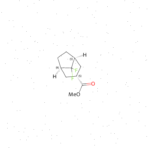 COC(=O)[C@@H]1C[C@H]2CC[C@@H](C1)C2(F)F